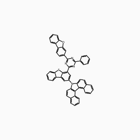 c1ccc(-c2nc(-c3ccc4c(c3)oc3ccccc34)nc(-c3cc(-n4c5ccc6ccccc6c5c5c6ccccc6ccc54)cc4c3sc3ccccc34)n2)cc1